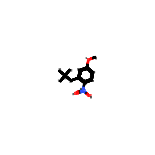 COc1ccc([N+](=O)[O-])c(CC(C)(C)C)c1